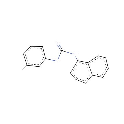 N=C(Nc1cccc(C(F)(F)F)c1)Nc1cccc2ccccc12